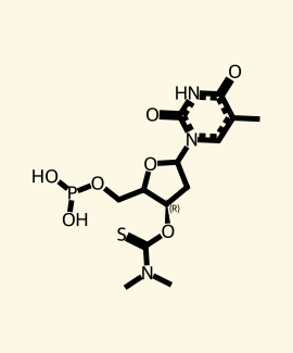 Cc1cn(C2C[C@@H](OC(=S)N(C)C)C(COP(O)O)O2)c(=O)[nH]c1=O